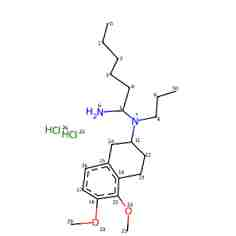 CCCCCC(N)N(CCC)C1CCc2c(ccc(OC)c2OC)C1.Cl.Cl